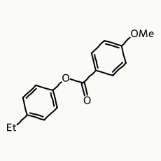 CCc1ccc(OC(=O)c2ccc(OC)cc2)cc1